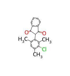 Cc1cc(C)c(C2C(=O)c3ccccc3C2=O)c(C)c1Cl